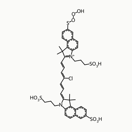 CC1(C)C(=CC=CC(Cl)=CC=CC2=[N+](CCCS(=O)(=O)O)c3ccc4cc(SOOO)ccc4c3C2(C)C)N(CCCS(=O)(=O)O)c2ccc3cc(S(=O)(=O)O)ccc3c21